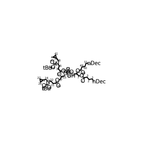 CCCCCCCCCCCCCC(=O)OCC(COP(=O)(O)OCC(COC(=O)CCN(CC1CC1)C(=O)OC(C)(C)C)OC(=O)CCN(CC1CC1)C(=O)OC(C)(C)C)OC(=O)CCCCCCCCCCCCC